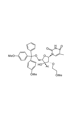 COCCO[C@H]1[C@H](n2cc(C)c(=O)[nH]c2=O)O[C@H](COC(c2ccccc2)(c2ccc(OC)cc2)c2ccc(OC)cc2)[C@]1(O)C(C)=O